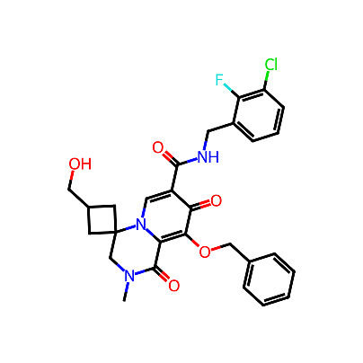 CN1CC2(CC(CO)C2)n2cc(C(=O)NCc3cccc(Cl)c3F)c(=O)c(OCc3ccccc3)c2C1=O